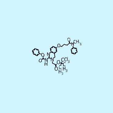 CN(C(=O)CCCOc1ccc2c(c1)CN(CC(=O)OC(C)(C)C(Cl)(Cl)Cl)C(NC(=O)Oc1ccccc1)=N2)c1ccccc1